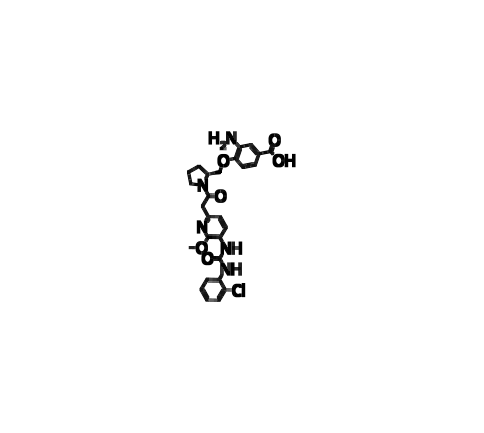 COc1nc(CC(=O)N2CCC[C@H]2COc2ccc(C(=O)O)cc2N)ccc1NC(=O)Nc1ccccc1Cl